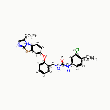 CCOC(=O)c1cnc2sc3cc(Oc4ccccc4CNC(=O)Nc4ccc(OC)c(Cl)c4)ccc3n12